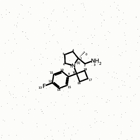 C[C@@]1(CN)CCCN1C1(c2ccc(F)cc2)CCC1